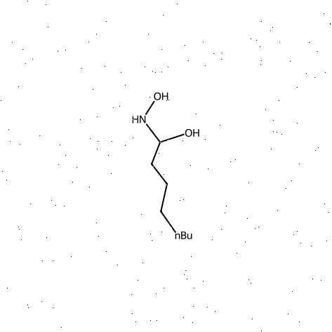 CCCCCCCC(O)NO